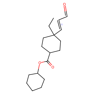 CCC1(/C=C/C=O)CCC(C(=O)OC2CCCCC2)CC1